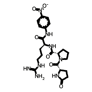 N=C(N)NCCC[C@H](NC(=O)[C@@H]1CCCN1C(=O)[C@@H]1CCC(=O)N1)C(=O)Nc1ccc([N+](=O)[O-])cc1